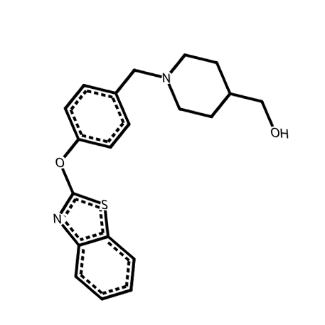 OCC1CCN(Cc2ccc(Oc3nc4ccccc4s3)cc2)CC1